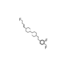 FCCC=C[C@H]1CC[C@H]([C@H]2CC[C@H](CCc3ccc(CF)c(F)c3)CC2)CC1